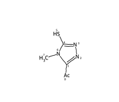 CC(=O)c1nnc(S)n1C